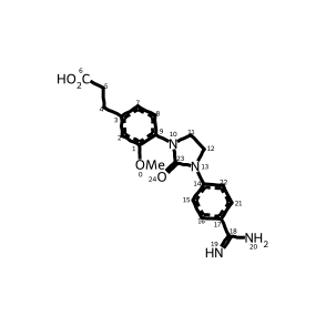 COc1cc(CCC(=O)O)ccc1N1CCN(c2ccc(C(=N)N)cc2)C1=O